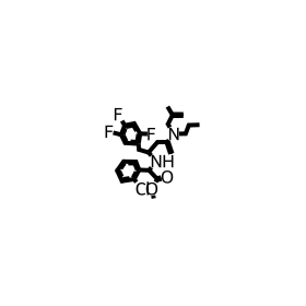 C=C(C)CN(CCC)C(=C)CC(Cc1cc(F)c(F)cc1F)NC(C(=O)OC)c1ccccc1Cl